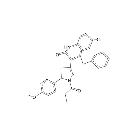 CCC(=O)N1N=C(c2c(Cc3ccccc3)c3cc(Cl)ccc3[nH]c2=O)CC1c1ccc(OC)cc1